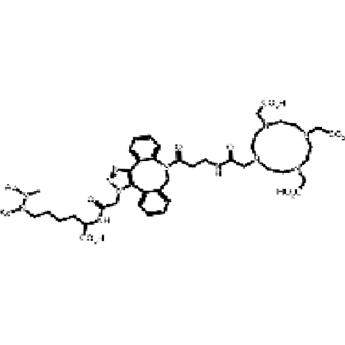 CC(=O)N(C)N(CCCCC(NC(=O)Cn1nnc2c1-c1ccccc1CN(C(=O)CCNC(=O)CN1CCN(CC(=O)O)CCN(CC(=O)O)CCN(CC(=O)O)CC1)c1ccccc1-2)C(=O)O)C(C)=O